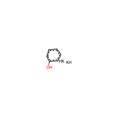 Oc1ccccc1.[KH].[KH]